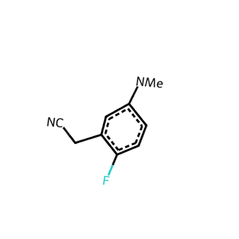 CNc1ccc(F)c(CC#N)c1